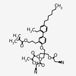 C=C(C)C(=O)OCCCc1cc(-c2ccc(CCCCCCC)cc2CC)ccc1OCC(COC(=O)CC#N)(COC(=O)CC#N)COC(=O)C(=C)C